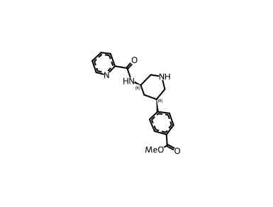 COC(=O)c1ccc([C@@H]2CNC[C@H](NC(=O)c3ccccn3)C2)cc1